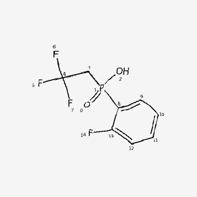 O=P(O)(CC(F)(F)F)c1ccccc1F